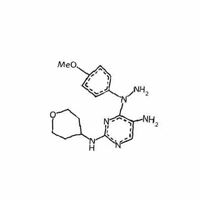 COc1ccc(N(N)c2nc(NC3CCOCC3)ncc2N)cc1